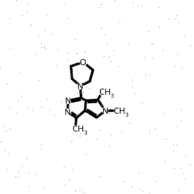 Cc1nnc(N2CCOCC2)c2c(C)n(C)cc12